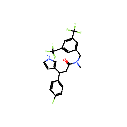 CN(Cc1cc(C(F)(F)F)cc(C(F)(F)F)c1)C(=O)CC(c1ccc(F)cc1)c1cc[nH]c1